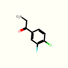 O=C(C[N+](=O)[O-])c1ccc(Cl)c(F)c1